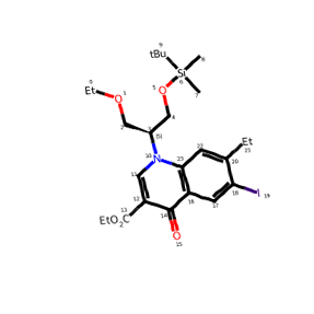 CCOC[C@@H](CO[Si](C)(C)C(C)(C)C)n1cc(C(=O)OCC)c(=O)c2cc(I)c(CC)cc21